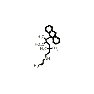 C=CCNCCC(C)(C)CC(C(=O)O)C(C)c1c2ccccc2cc2ccccc12